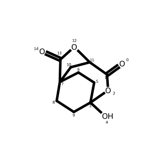 O=C1OC2(O)CCC3(CC2)CC1OC3=O